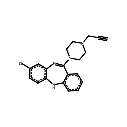 C#CCN1CCN(C2=Nc3cc(Cl)ccc3Nc3ccccc32)CC1